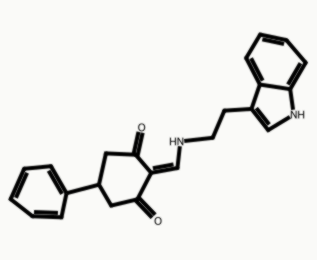 O=C1CC(c2ccccc2)CC(=O)C1=CNCCc1c[nH]c2ccccc12